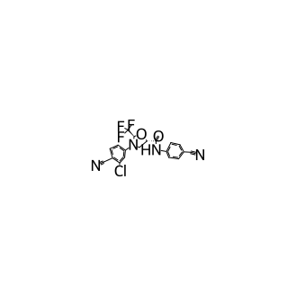 N#Cc1ccc(NC(=O)[C@@H]2CN(c3ccc(C#N)c(Cl)c3)[C@@H](C(F)(F)F)O2)cc1